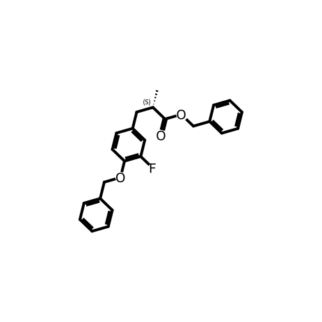 C[C@@H](Cc1ccc(OCc2ccccc2)c(F)c1)C(=O)OCc1ccccc1